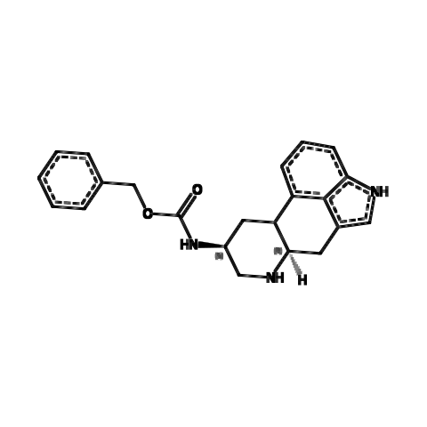 O=C(N[C@@H]1CN[C@@H]2Cc3c[nH]c4cccc(c34)C2C1)OCc1ccccc1